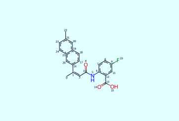 C/C(=C/C(=O)Nc1ccc(F)cc1C(=O)O)c1ccc2cc(C)ccc2c1